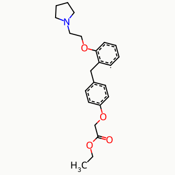 CCOC(=O)COc1ccc(Cc2[c]cccc2OCCN2CCCC2)cc1